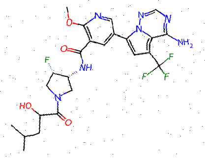 COc1ncc(-c2cc(C(F)(F)F)c3c(N)ncnn23)cc1C(=O)N[C@@H]1CN(C(=O)C(O)CC(C)C)C[C@@H]1F